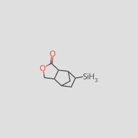 O=C1OCC2C3CC([SiH3])C(C3)C12